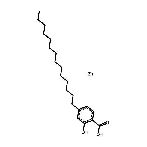 CCCCCCCCCCCCCCc1ccc(C(=O)O)c(O)c1.[Zn]